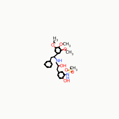 COc1cc(C(Cc2ccccc2)NCC(O)Cc2ccc(O)c(NS(C)(=O)=O)c2)cc(OC)c1OC